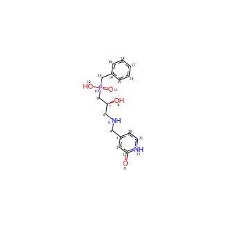 O=c1cc(CNC[C@H](O)CP(=O)(O)Cc2ccccc2)cc[nH]1